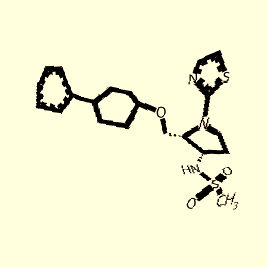 CS(=O)(=O)N[C@H]1CCN(c2nccs2)[C@H]1COC1CCC(c2ccccc2)CC1